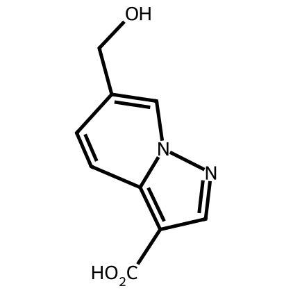 O=C(O)c1cnn2cc(CO)ccc12